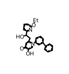 CCOc1cccc(C(O)Cc2cc(=O)c(O)cn2-c2cccc(-c3ccccc3)c2)n1